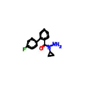 NN(C(=O)c1ccccc1-c1ccc(F)cc1)C1CC1